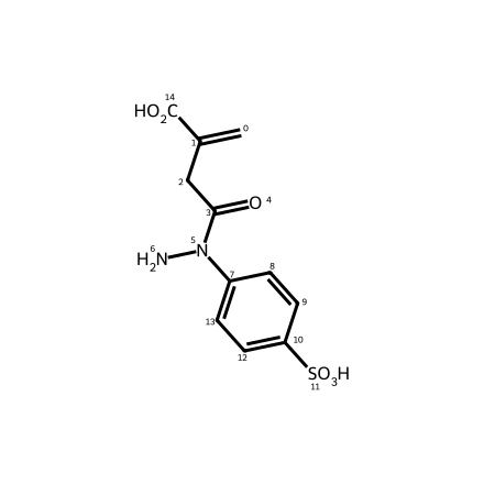 C=C(CC(=O)N(N)c1ccc(S(=O)(=O)O)cc1)C(=O)O